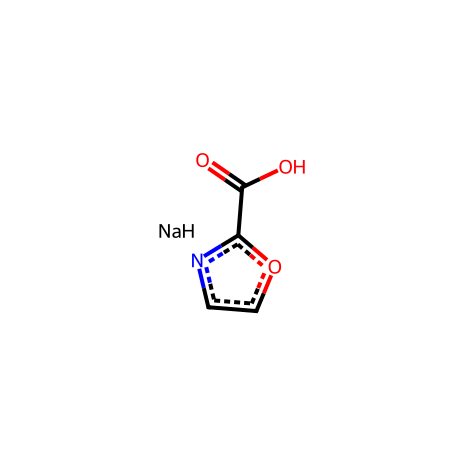 O=C(O)c1ncco1.[NaH]